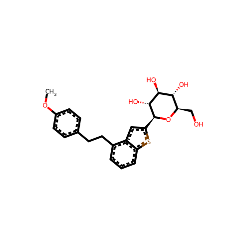 COc1ccc(CCc2cccc3sc([C@@H]4O[C@H](CO)[C@@H](O)[C@H](O)[C@H]4O)cc23)cc1